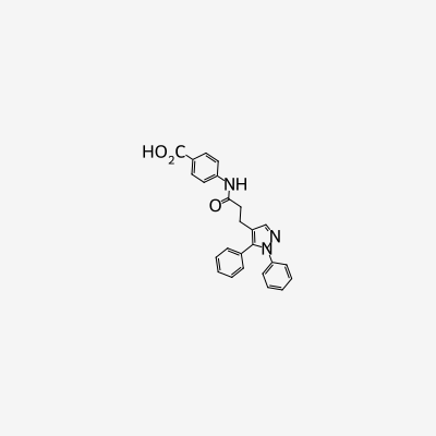 O=C(CCc1cnn(-c2ccccc2)c1-c1ccccc1)Nc1ccc(C(=O)O)cc1